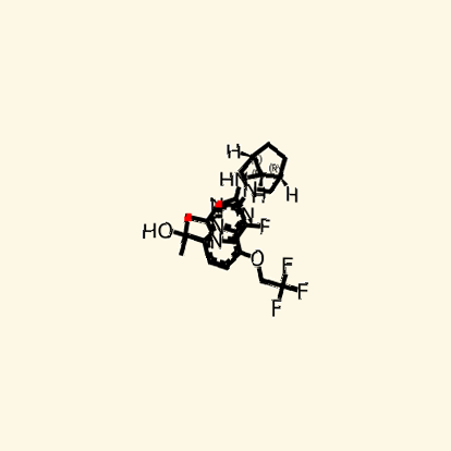 Cc1cc(N2C[C@H]3CC[C@@H](C2)[C@H]3Nc2nc3c(OCC(F)(F)F)ccc(C(C)(C)O)n3n2)c(F)cn1